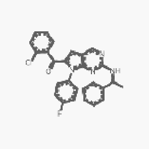 CC(Nc1ncc2cc(C(=O)c3ccccc3Cl)n(-c3ccc(F)cc3)c2n1)c1ccccc1